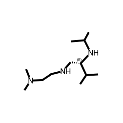 CC(C)N[C@@H](CNCCN(C)C)C(C)C